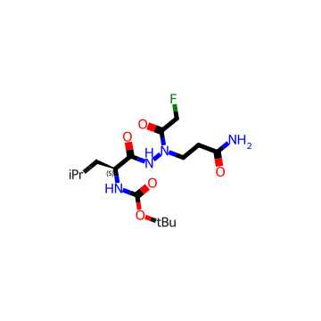 CC(C)C[C@H](NC(=O)OC(C)(C)C)C(=O)NN(CCC(N)=O)C(=O)CF